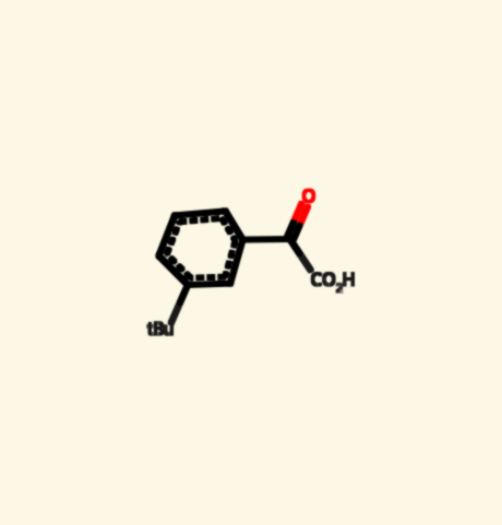 CC(C)(C)c1cccc(C(=O)C(=O)O)c1